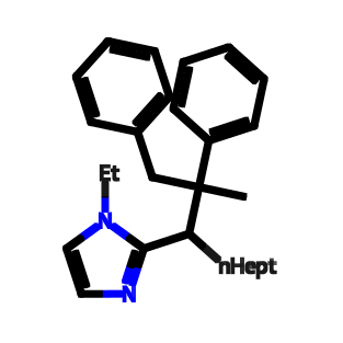 CCCCCCCC(c1nccn1CC)C(C)(Cc1ccccc1)c1ccccc1